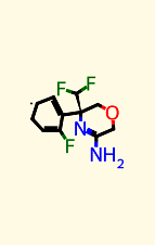 NC1=N[C@@](C2=C[CH]CC=C2F)(C(F)F)COC1